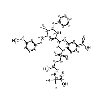 COc1cccc(CNC[C@@H](O)[C@H](Cc2ccccc2)NC(=O)C(CCS(=O)(=O)CCC(C)C)Oc2cccc(C(=O)O)c2)c1.O=C(O)C(F)(F)F